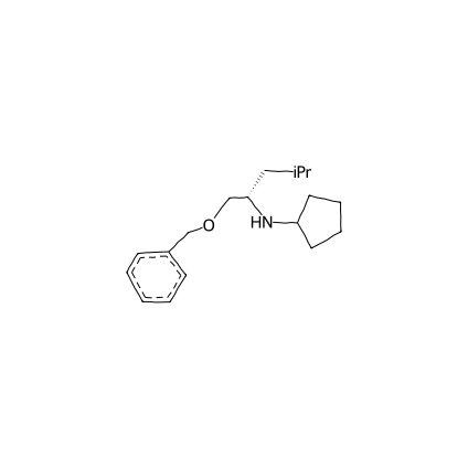 CC(C)C[C@@H](COCc1ccccc1)NC1CCCC1